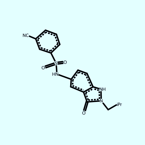 CC(C)Cn1[nH]c2ccc(NS(=O)(=O)c3cccc(C#N)c3)cc2c1=O